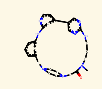 CN1CCCNc2ncc(cn2)-c2ccnc(c2)Nc2cccc(c2)CN2CCN(CC2)CC1=O